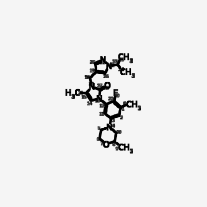 Cc1cc(N2CCO[C@H](C)C2)cc(-n2cc(C)n(Cc3cnn(C(C)C)c3)c2=O)c1F